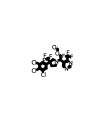 O=COCC(c1cncnc1C(F)(F)F)N1CCC(c2cc(Cl)c(Cl)c(Cl)c2)(C(F)(F)F)C1